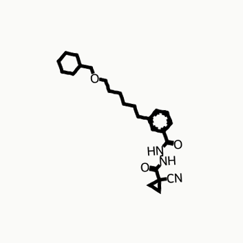 N#CC1(C(=O)NNC(=O)c2cccc(CCCCCCOCC3CCCCC3)c2)CC1